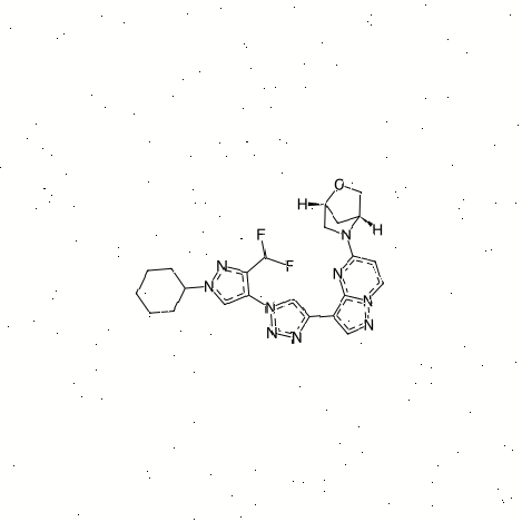 FC(F)c1nn(C2CCCCC2)cc1-n1cc(-c2cnn3ccc(N4C[C@H]5C[C@@H]4CO5)nc23)nn1